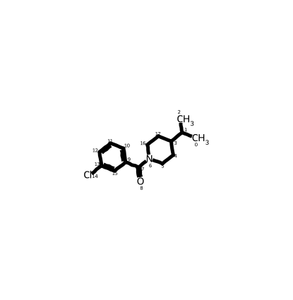 CC(C)C1CCN(C(=O)c2cccc(Cl)c2)CC1